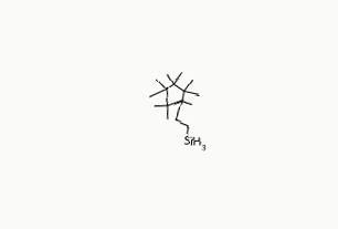 CC1(C)C(C)(C)C(C)(C)C(C)(CC[SiH3])C1(C)C